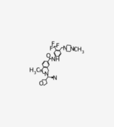 C[C@H]1CN(C(C#N)C2CCOC2)Cc2cc(C(=O)Nc3ccc(CN4CCN(C)CC4)c(C(F)(F)F)c3)ccc21